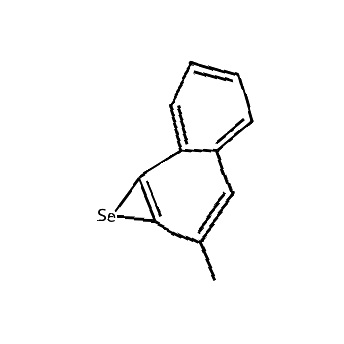 Cc1cc2ccccc2c2c1[Se]2